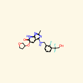 Cc1nc(NCc2cccc(C(F)(F)CO)c2F)c2cc(OC3CCOC3)c(=O)[nH]c2n1